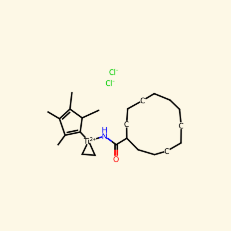 CC1=C(C)C(C)[C]([Ti+2]2([NH]C(=O)C3CCCCCCCCCCC3)[CH2][CH2]2)=C1C.[Cl-].[Cl-]